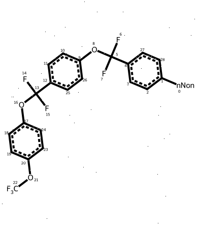 CCCCCCCCCc1ccc(C(F)(F)Oc2ccc(C(F)(F)Oc3ccc(OC(F)(F)F)cc3)cc2)cc1